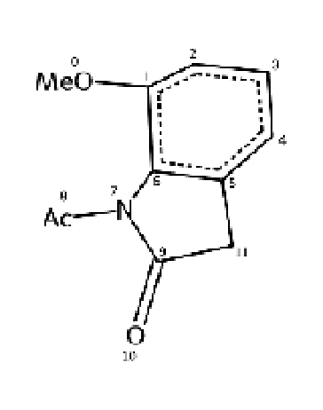 COc1cccc2c1N(C(C)=O)C(=O)C2